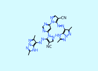 [C-]#[N+]c1cnn(-c2cc(-n3ncc(C#N)c3/N=N/c3c(C)nn4nc(C)[nH]c34)ncn2)c1/N=N/c1c(C)nn2nc(C)[nH]c12